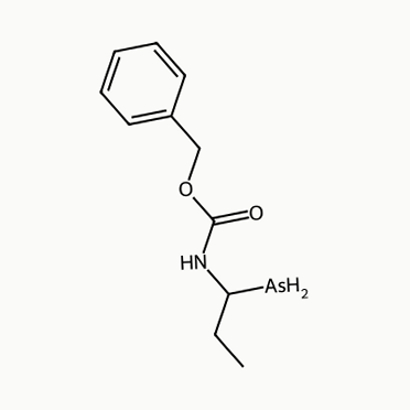 CCC([AsH2])NC(=O)OCc1ccccc1